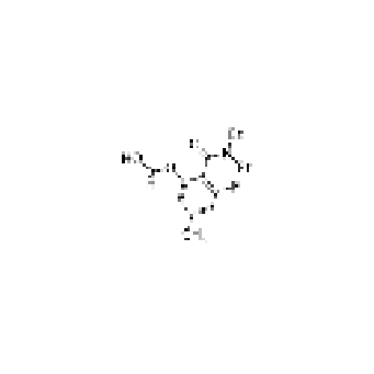 CCN(CC)C(=O)c1c(F)cc(C)cc1OBO